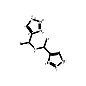 CC(OC(C)c1c[nH]nn1)c1c[nH]nn1